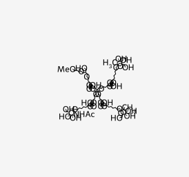 COCCCOCC(CO)COCCCOP(=O)(O)OCC(COCCCOP(=O)(O)OCCCCCCO[C@@H]1OC(CO)[C@H](O)[C@H](O)C1C)(COCCCOP(=O)(O)OCCCCCCO[C@@H]1OC(CO)[C@H](O)[C@H](O)C1C)COCCCOP(=O)(O)OCCCCCCO[C@@H]1CC(CO)[C@H](O)[C@H](O)C1NC(C)=O